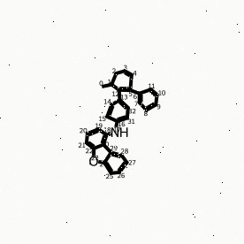 CC1CC=CC(c2ccccc2)=C1c1ccc(Nc2cccc3oc4ccccc4c23)cc1